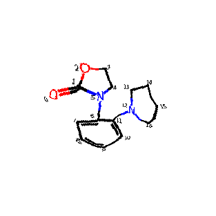 O=C1OCCN1c1ccccc1N1CCCC1